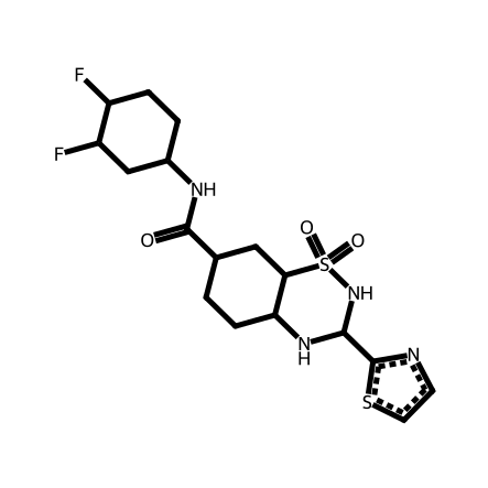 O=C(NC1CCC(F)C(F)C1)C1CCC2NC(c3nccs3)NS(=O)(=O)C2C1